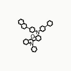 c1ccc(-c2ccc(N(c3ccc(-c4ccc5ccccc5c4)cc3)c3cccc4c3oc3c5ccccc5n(-c5ccccc5)c43)cc2)cc1